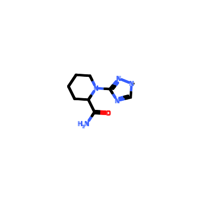 NC(=O)C1CCCCN1C1=N[N]C=N1